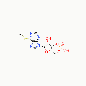 CCSc1ncnc2c1ncn2C1OC2COP(=O)(O)OC2C1O